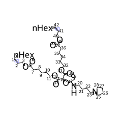 CCCCCC/C=C\COC(=O)CCCCCOC(=O)C(OC(=S)NCCCCN1CCCC1)C(=O)OCCCCCC(=O)OC/C=C\CCCCCC